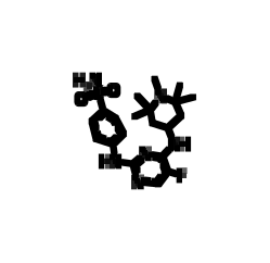 CN1C(C)(C)CC(Nc2nc(Nc3ccc(S(N)(=O)=O)cc3)ncc2F)CC1(C)C